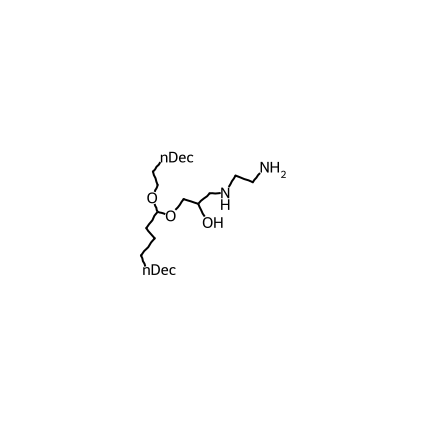 CCCCCCCCCCCCCC(OCCCCCCCCCCCC)OCC(O)CNCCN